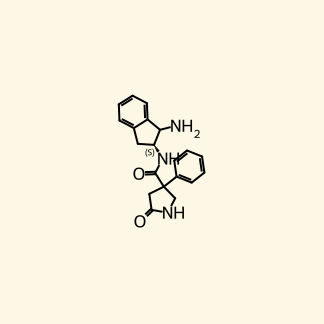 NC1c2ccccc2C[C@@H]1NC(=O)C1(c2ccccc2)CNC(=O)C1